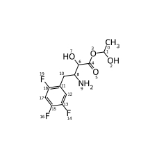 CC(O)OC(=O)C(O)C(N)Cc1cc(F)c(F)cc1F